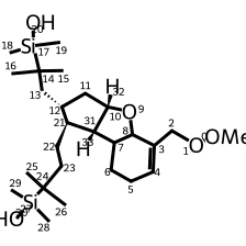 COOCC1=CCCC2C1O[C@H]1C[C@@H](CC(C)(C)[Si](C)(C)O)[C@H](CCC(C)(C)[Si](C)(C)O)[C@@H]21